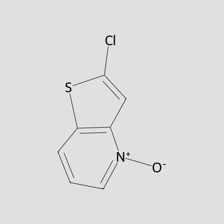 [O-][n+]1cccc2sc(Cl)cc21